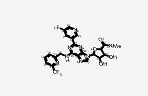 CNC(=O)C1OC(n2cnc3c(NCc4cccc(C(F)(F)F)n4)nc(-c4cncc(F)c4)nc32)C(O)C1O